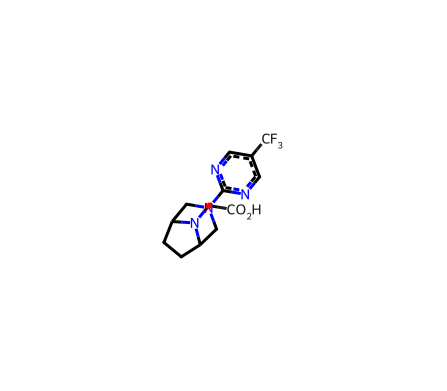 O=C(O)CN1C2CCC1CN(c1ncc(C(F)(F)F)cn1)C2